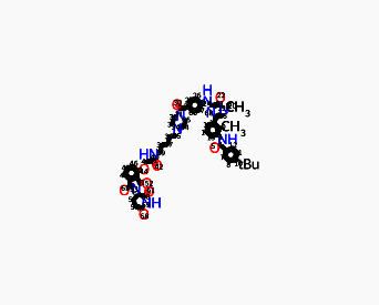 Cc1c(NC(=O)c2ccc(C(C)(C)C)cc2)cccc1-c1cn(C)c(=O)c(Nc2ccc(C(=O)N3CCN(CCCCCNC(=O)COc4cccc5c4C(=O)N(C4CCC(=O)NC4=O)C5=O)CC3)cc2)n1